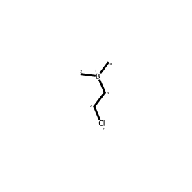 CB(C)CCCl